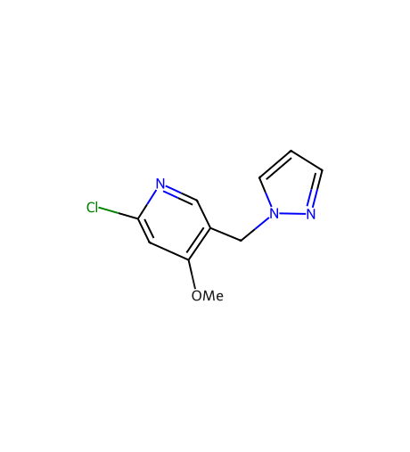 COc1cc(Cl)ncc1Cn1cccn1